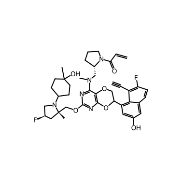 C#Cc1c(F)ccc2cc(O)cc(C3COc4c(nc(OC[C@]5(C)C[C@@H](F)CN5C5CCC(C)(O)CC5)nc4N(C)C[C@@H]4CCCN4C(=O)C=C)O3)c12